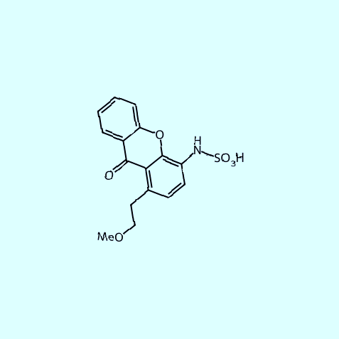 COCCc1ccc(NS(=O)(=O)O)c2oc3ccccc3c(=O)c12